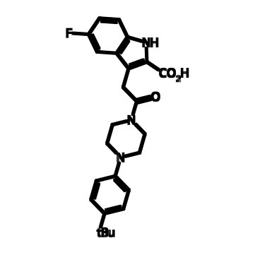 CC(C)(C)c1ccc(N2CCN(C(=O)Cc3c(C(=O)O)[nH]c4ccc(F)cc34)CC2)cc1